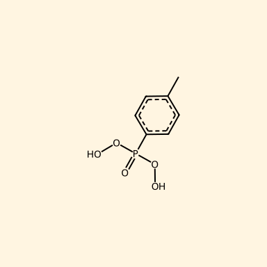 Cc1ccc(P(=O)(OO)OO)cc1